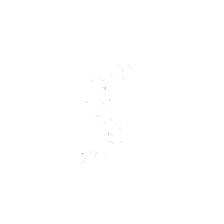 CC(C)C[C@H](NC(=O)c1ccc(N(C)C)cc1)C(=O)N1CCC2C1C(=O)CN2C(=O)[C@@H](CC(C)C)NC(=O)OCc1ccccc1